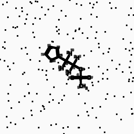 [2H]C([2H])(OS(C)(=O)=O)C([2H])([2H])c1cccs1